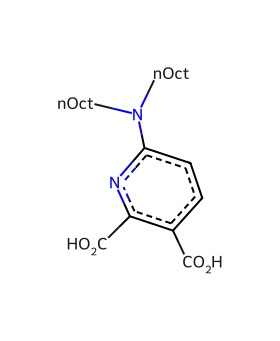 CCCCCCCCN(CCCCCCCC)c1ccc(C(=O)O)c(C(=O)O)n1